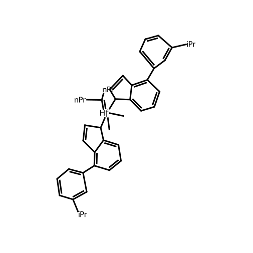 CCC[C](CCC)=[Hf]([CH3])([CH3])([CH]1C=Cc2c(-c3cccc(C(C)C)c3)cccc21)[CH]1C=Cc2c(-c3cccc(C(C)C)c3)cccc21